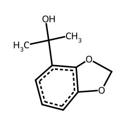 CC(C)(O)c1cccc2c1OCO2